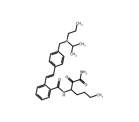 CCCCC(NC(=O)c1ccccc1/C=C/c1ccc(CN(CCC)C(C)C)cc1)C(=O)C(N)=O